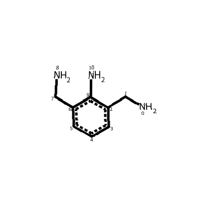 NCc1c[c]cc(CN)c1N